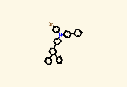 Brc1ccc(N(C2=CC=C(c3ccc(-c4ccccc4)c(-c4ccccc4)c3)CC2)c2ccc(C3C=CC=CC3)cc2)cc1